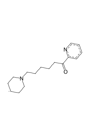 O=C(CCCCCN1CC[CH]CC1)c1ccccn1